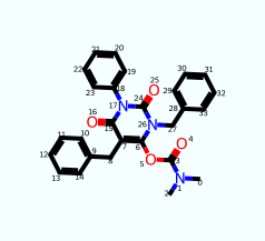 CN(C)C(=O)Oc1c(Cc2ccccc2)c(=O)n(-c2ccccc2)c(=O)n1Cc1ccccc1